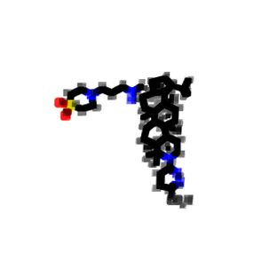 C=C(C)[C@@H]1CC[C@]2(CNCCCN3CCS(=O)(=O)CC3)CC[C@]3(C)[C@H](CC[C@@H]4[C@@]5(C)CCN(c6ccc(C(=O)O)nn6)C(C)(C)[C@@H]5CC[C@]43C)[C@@H]12